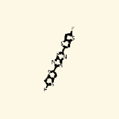 Fc1cc2sc(-c3nc4sc(-c5cc6sc(F)cc6s5)nc4s3)cc2s1